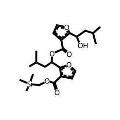 CC(C)CC(O)c1occc1C(=O)OC(CC(C)C)c1occc1C(=O)OC[Si](C)(C)C